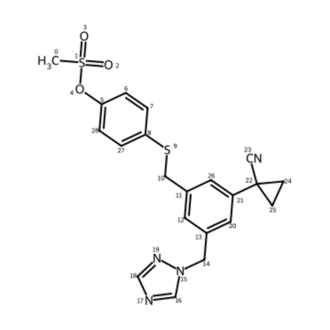 CS(=O)(=O)Oc1ccc(SCc2cc(Cn3cncn3)cc(C3(C#N)CC3)c2)cc1